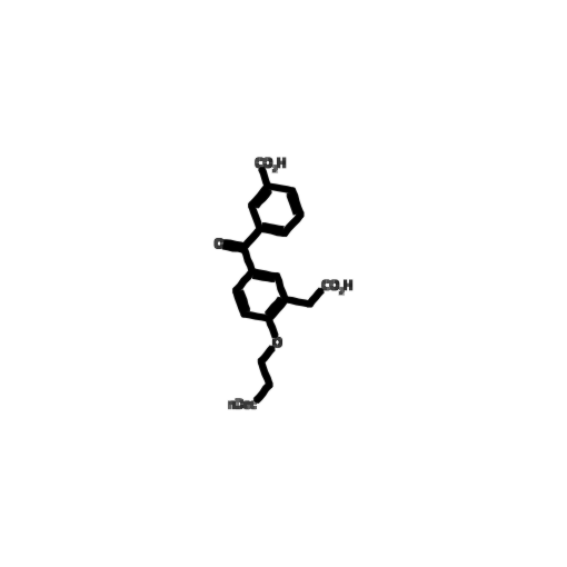 CCCCCCCCCCCCOc1ccc(C(=O)c2cccc(C(=O)O)c2)cc1CC(=O)O